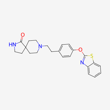 O=C1NCCC12CCN(CCc1ccc(Oc3nc4ccccc4s3)cc1)CC2